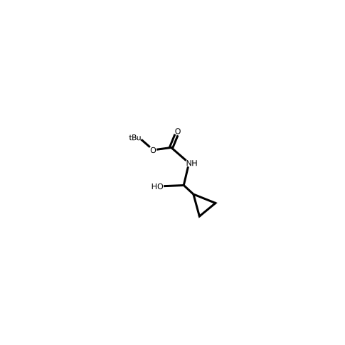 CC(C)(C)OC(=O)NC(O)C1CC1